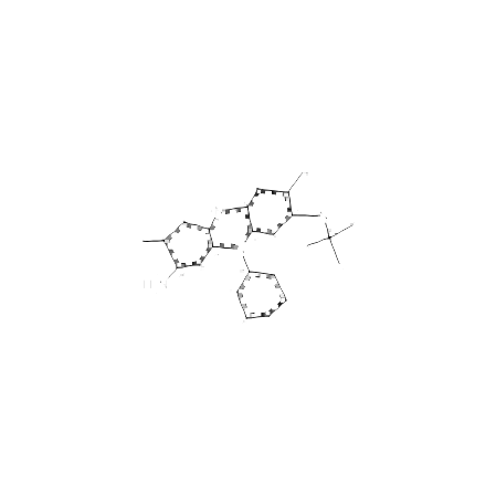 Cc1cc2nc3cc(C)c(NC(C)(C)C)cc3[n+](-c3ccccc3)c2cc1N